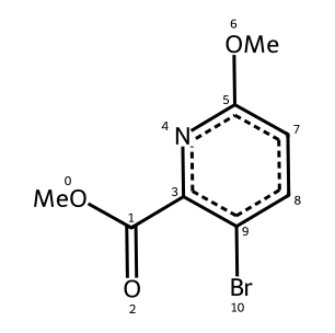 COC(=O)c1nc(OC)ccc1Br